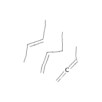 C=C=CC.C=CCC.CC=CC